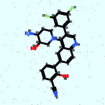 N#Cc1cccc(-c2ccc3ncc(-c4cc(F)cc(F)c4)c(N4CC[C@H](N)[C@H](O)C4)c3c2)c1O